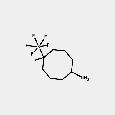 CC1(S(F)(F)(F)(F)F)CCCC(N)CCC1